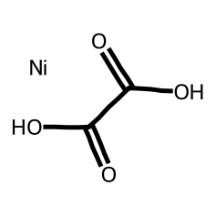 O=C(O)C(=O)O.[Ni]